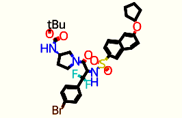 CC(C)(C)OC(=O)N[C@@H]1CCN(C(=O)C(NS(=O)(=O)c2ccc3cc(OC4CCCC4)ccc3c2)C(F)(F)c2ccc(Br)cc2)C1